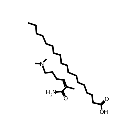 CC(=CCCCN(C)C)C(N)=O.CCCCCCCCCCCCCCCCCC(=O)O